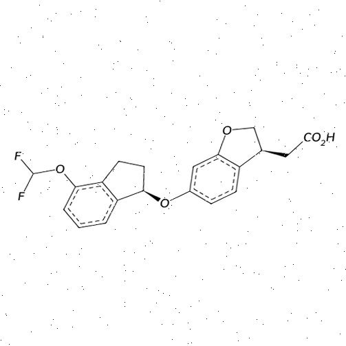 O=C(O)C[C@@H]1COc2cc(O[C@@H]3CCc4c(OC(F)F)cccc43)ccc21